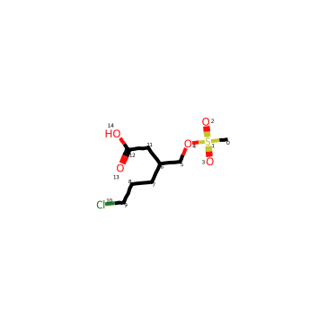 CS(=O)(=O)OCC(CCCCl)CC(=O)O